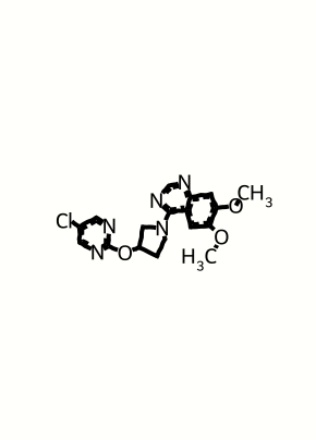 COc1cc2ncnc(N3CCC(Oc4ncc(Cl)cn4)C3)c2cc1OC